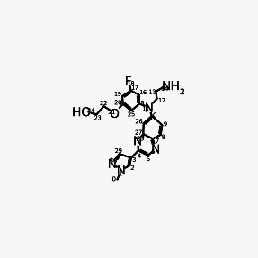 Cn1cc(-c2cnc3ccc(N(CCN)c4cc(F)cc(OCCO)c4)cc3n2)cn1